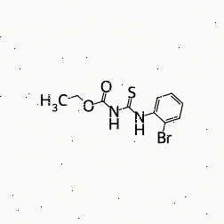 CCOC(=O)NC(=S)Nc1ccccc1Br